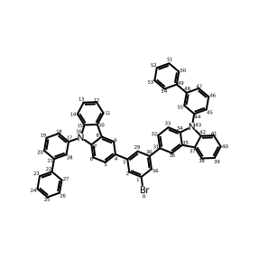 Brc1cc(-c2ccc3c(c2)c2ccccc2n3-c2cccc(-c3ccccc3)c2)cc(-c2ccc3c(c2)c2ccccc2n3-c2cccc(-c3ccccc3)c2)c1